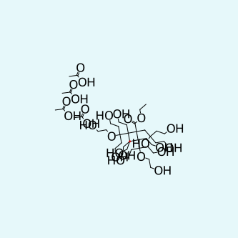 CC(=O)O.CC(=O)O.CC(=O)O.CC(=O)O.CCOC(=O)C(CC(O)(CCO)CCO)(C(CCO)(CCO)C(CCO)(CCO)OCCO)C(CCO)(CCO)C(CCO)(CCO)OCCO